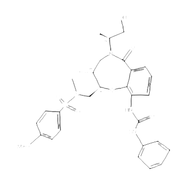 COc1ccc(S(=O)(=O)N(C)C[C@@H]2Oc3c(NC(=O)Nc4ccccc4)cccc3C(=O)N([C@@H](C)CO)C[C@H]2C)cc1